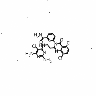 NC(=O)c1cccc(-n2c(CCNc3nc(N)nc(N)c3Cl)nc3c(Cl)ccc(Cl)c3c2=O)c1